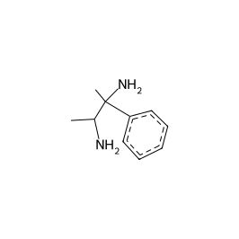 CC(N)C(C)(N)c1ccccc1